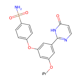 CC(C)Oc1cc(Oc2ccc(S(N)(=O)=O)cc2)cc(-c2nccc(=O)[nH]2)c1